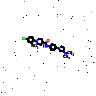 CN(C)C1CCN(c2ccc(NC(=O)C3CCN(c4ccc(Cl)cc4[N+](=O)[O-])CC3)cc2)C1